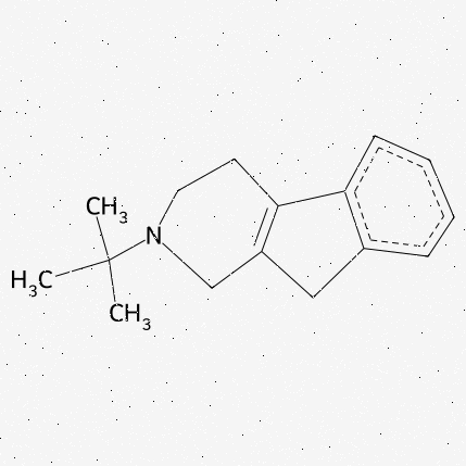 CC(C)(C)N1CCC2=C(Cc3ccccc32)C1